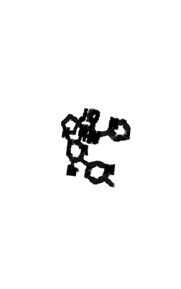 Cc1ccc(-c2nc3c(cc2Br)N2CC[C@@H](C2)N3C(=O)Nc2ccccn2)cn1